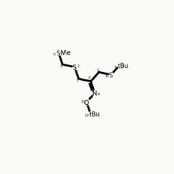 CSCSC/C(CSC(C)(C)C)=N\OC(C)(C)C